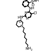 CC(C)S(=O)(=O)c1ccccc1Nc1nc(N[C@@H]2CCCN(CCCCCCCN)C2)ncc1Cl